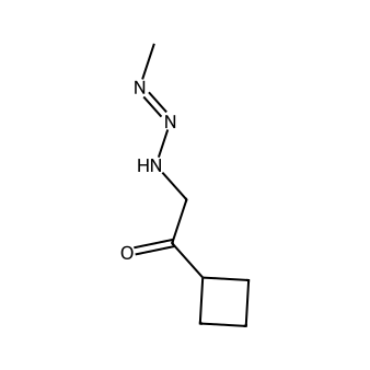 C/N=N/NCC(=O)C1CCC1